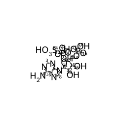 Nc1ncnc2c1ncn2[C@@H]1O[C@H](C(OP(=O)(O)O)OP(=O)(O)OS(=O)(=O)O)[C@@H](O)[C@H]1O